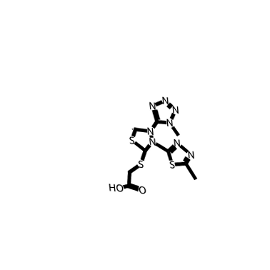 Cc1nnc(N2C(SCC(=O)O)S[CH]N2c2nnnn2C)s1